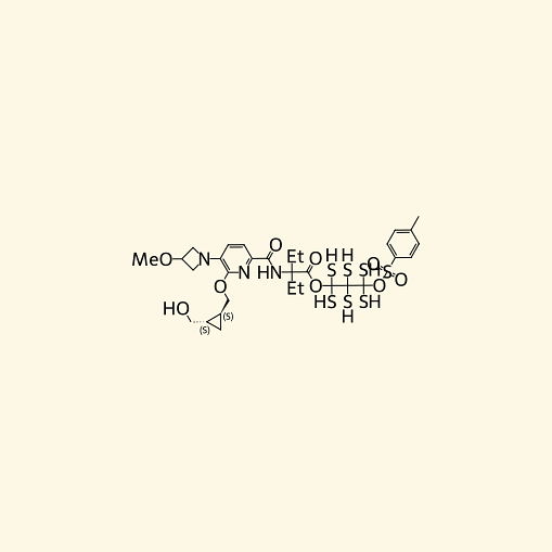 CCC(CC)(NC(=O)c1ccc(N2CC(OC)C2)c(OC[C@H]2C[C@@H]2CO)n1)C(=O)OC(S)(S)C(S)(S)C(S)(S)OS(=O)(=O)c1ccc(C)cc1